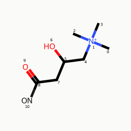 C[N+](C)(C)CC(O)CC(=O)N=O